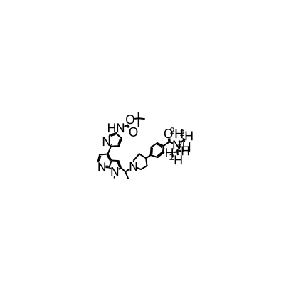 [2H]C([2H])([2H])N(C(=O)c1ccc(C2CCN(C(C)c3cc4c(-c5ccc(NC(=O)OC(C)(C)C)cn5)ccnc4n3C)CC2)cc1)C([2H])([2H])[2H]